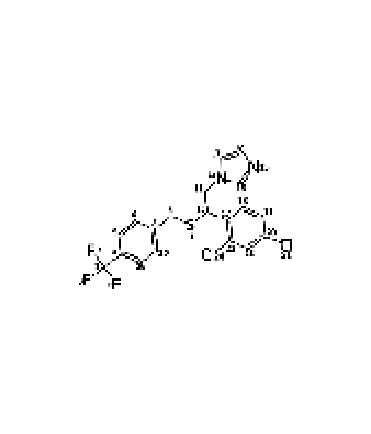 FC(F)(F)c1ccc(CSC(Cn2ccnc2)c2ccc(Cl)cc2Cl)cc1